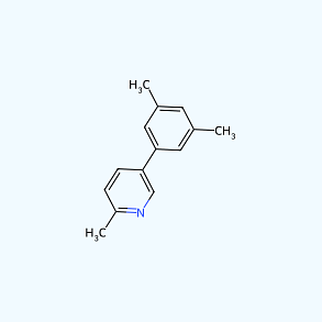 Cc1cc(C)cc(-c2ccc(C)nc2)c1